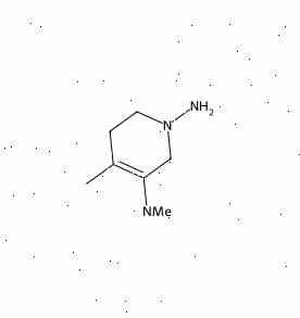 CNC1=C(C)CCN(N)C1